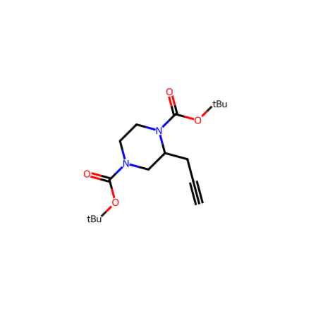 C#CCC1CN(C(=O)OC(C)(C)C)CCN1C(=O)OC(C)(C)C